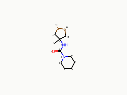 CC1(NC(=O)N2CCCCC2)CSSC1